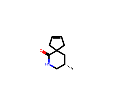 C[C@@H]1CNC(=O)C2(CC=CC2)C1